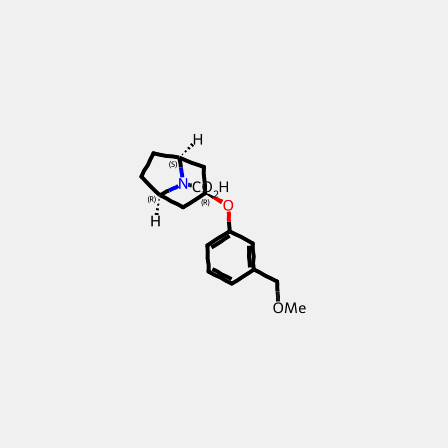 COCc1cccc(O[C@H]2C[C@H]3CC[C@@H](C2)N3C(=O)O)c1